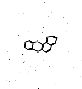 [c]1ccc2ccc3c(c2c1)Sc1ccccc1S3